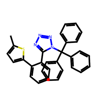 Cc1ccc(-c2ccccc2-c2nnnn2C(c2ccccc2)(c2ccccc2)c2ccccc2)s1